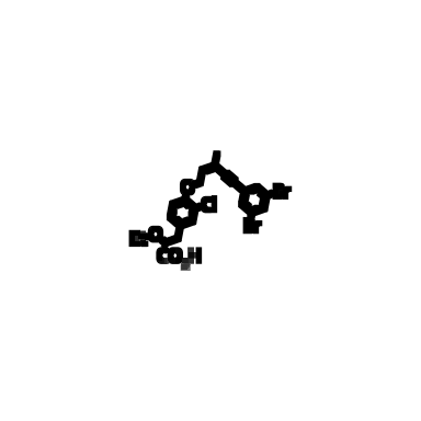 CCO[C@@H](Cc1ccc(OCC=C(C)C#Cc2cc(Br)cc(Br)c2)c(Cl)c1)C(=O)O